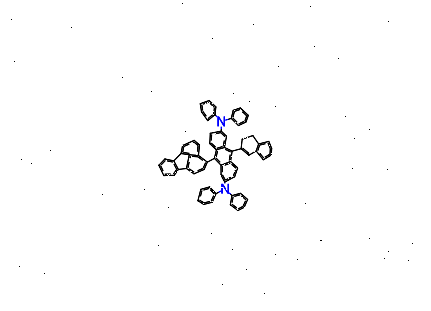 C1=C(c2c3cc(N(c4ccccc4)c4ccccc4)ccc3c(-c3ccc4c5c(cccc35)-c3ccccc3-4)c3cc(N(c4ccccc4)c4ccccc4)ccc23)CCc2ccccc21